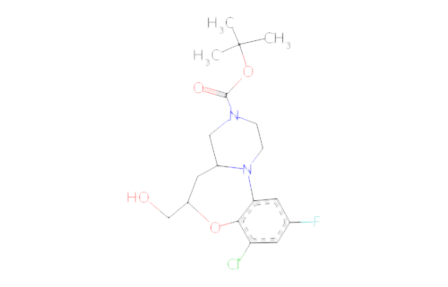 CC(C)(C)OC(=O)N1CCN2c3cc(F)cc(Cl)c3OC(CO)CC2C1